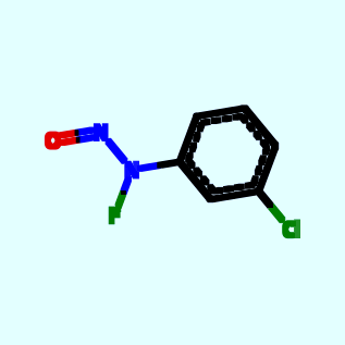 O=NN(F)c1cccc(Cl)c1